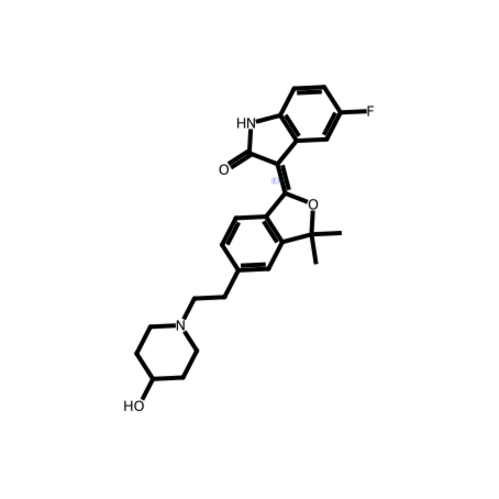 CC1(C)O/C(=C2/C(=O)Nc3ccc(F)cc32)c2ccc(CCN3CCC(O)CC3)cc21